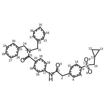 O=C(Cc1ccc(S(=O)(=O)CC2CC2)cc1)Nc1ccc(C(=O)N(Cc2ccccc2)Cc2ccccc2)cc1